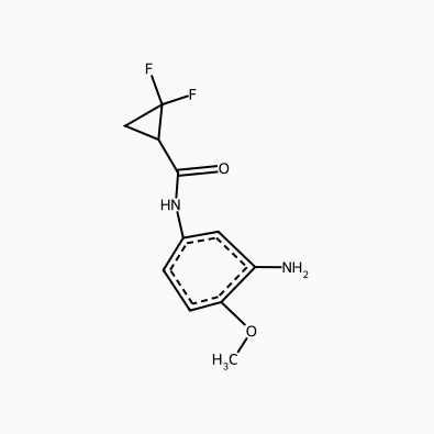 COc1ccc(NC(=O)C2CC2(F)F)cc1N